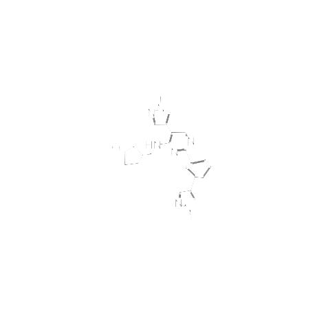 Cn1cc(-c2cccc(-c3ncc(-c4cnn(C)c4)c(NC[C@H]4CC[C@H](O)C4)n3)c2)cn1